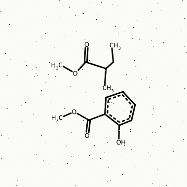 CCC(C)C(=O)OC.COC(=O)c1ccccc1O